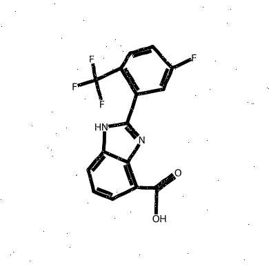 O=C(O)c1cccc2[nH]c(-c3cc(F)ccc3C(F)(F)F)nc12